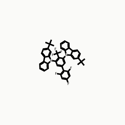 CC(C)(C)c1ccc2c3ccccc3n(-c3cc(-c4c(F)cc(F)cc4F)cc(-n4c5ccccc5c5ccc(C(C)(C)C)cc54)c3C(F)(F)F)c2c1